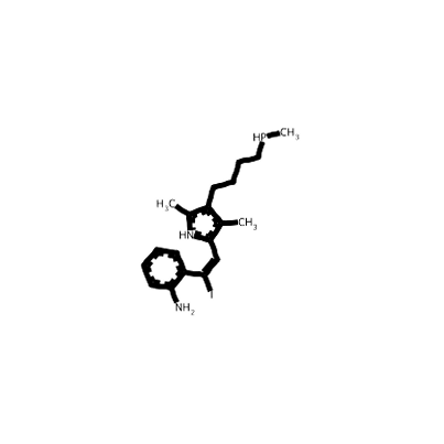 CPCCCCc1c(C)[nH]c(/C=C(/I)c2ccccc2N)c1C